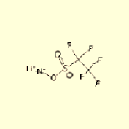 [Li+].[N-]OS(=O)(=O)C(F)(F)C(F)(F)F